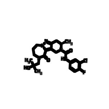 C[C@@H]1Cc2nn3c(c2CN1C(=O)Nc1ccc(F)c(Cl)c1)C(=O)N(CC(C)(C)O)CCC3